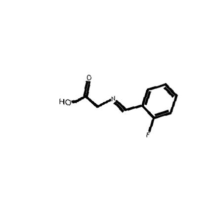 O=C(O)CN=Cc1ccccc1F